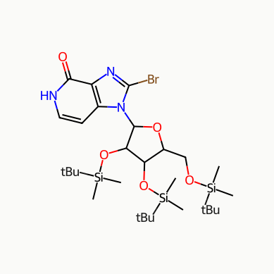 CC(C)(C)[Si](C)(C)OCC1OC(n2c(Br)nc3c(=O)[nH]ccc32)C(O[Si](C)(C)C(C)(C)C)C1O[Si](C)(C)C(C)(C)C